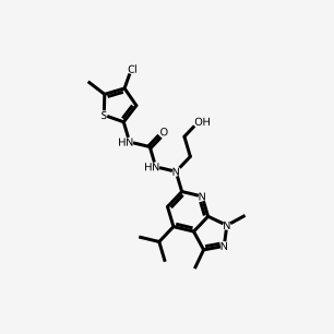 Cc1sc(NC(=O)NN(CCO)c2cc(C(C)C)c3c(C)nn(C)c3n2)cc1Cl